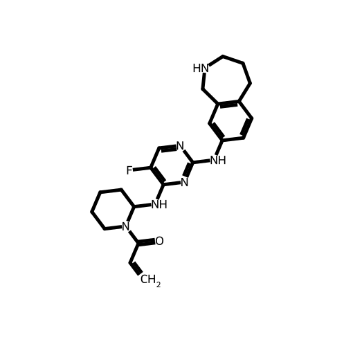 C=CC(=O)N1CCCCC1Nc1nc(Nc2ccc3c(c2)CNCCC3)ncc1F